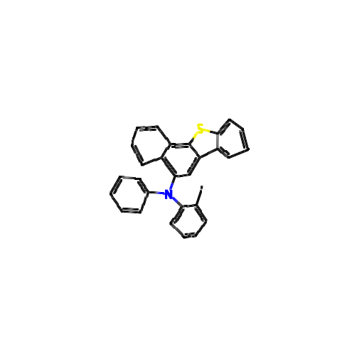 Cc1ccccc1N(c1ccccc1)c1cc2c3ccccc3sc2c2ccccc12